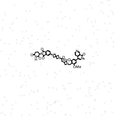 COc1cc(-c2cn(C)c(=O)c3cnccc23)cc(OC)c1CN1CC(CC(=O)N2CC3(C2)CN(c2ccc4c(c2)C(=O)N(C2CCC(=O)NC2=O)C4=O)C3)C1